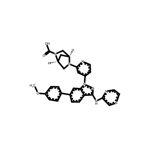 COc1ccc(-c2ccc3c(Nc4cnccn4)nn(-c4ccnc(N5C[C@@H]6C[C@H]5CN6C(=O)O)c4)c3c2)cc1